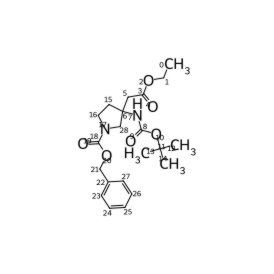 CCOC(=O)CC1(NC(=O)OC(C)(C)C)CCN(C(=O)OCc2ccccc2)C1